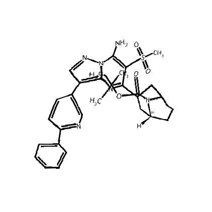 CC(C)(C)OC(=O)N1C2CC[C@@H]1CC(c1nc3c(-c4ccc(-c5ccccc5)nc4)cnn3c(N)c1S(C)(=O)=O)C2